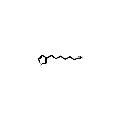 SCCCCCCc1ccsc1